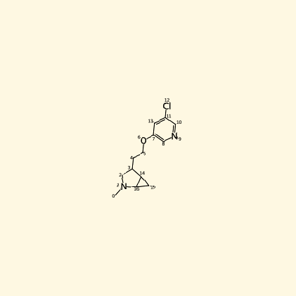 CN1CC(CCOc2cncc(Cl)c2)C2CC21